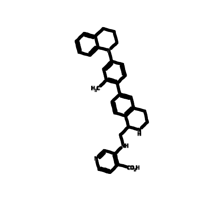 Cc1cc(N2CCCc3ccccc32)ccc1-c1ccc2c(c1)CCNC2CNc1cnccc1C(=O)O